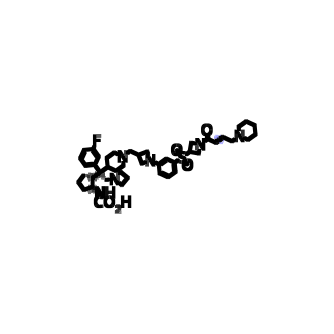 O=C(O)N[C@H]1CCC[C@@H]1[C@@](CN1CCC1)(c1cccc(F)c1)C1CCN(CC2CN(c3cccc(S(=O)(=O)C4CN(C(=O)/C=C/CN5CCCCC5)C4)c3)C2)CC1